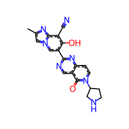 Cc1cn2cc(-c3ncc4c(=O)n(C5CCNC5)ccc4n3)c(O)c(C#N)c2n1